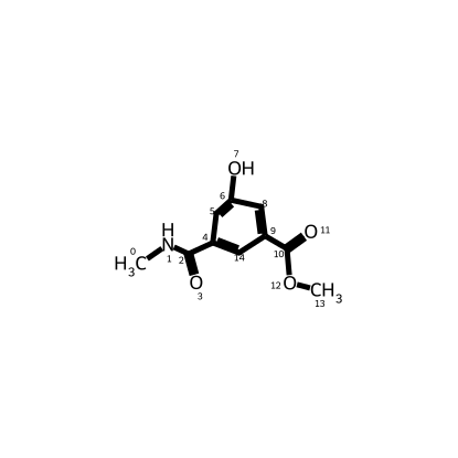 CNC(=O)c1cc(O)cc(C(=O)OC)c1